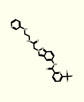 O=C(Cn1cc2cc(NC(=O)c3cccc(C(F)(F)F)n3)ccc2n1)NCCNc1cccnc1